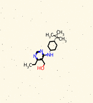 CCc1ncnc(N[C@H]2CC[C@@H]([Si](C)(C)C)CC2)c1CO